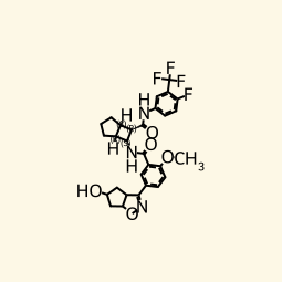 COc1ccc(C2=NOC3CC(O)CC23)cc1C(=O)N[C@H]1[C@@H]2CCC[C@@H]2[C@H]1C(=O)Nc1ccc(F)c(C(F)(F)F)c1